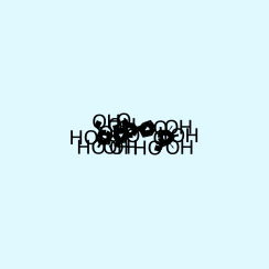 O=c1cc(-c2ccc(O[C@@H]3O[C@H](CO)[C@@H](O)[C@H](O)[C@H]3O)cc2)oc2cc(O)c([C@@H]3O[C@H](CO)[C@@H](O)[C@H](O)[C@H]3O)c(O)c12